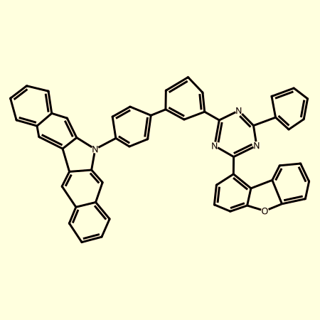 c1ccc(-c2nc(-c3cccc(-c4ccc(-n5c6cc7ccccc7cc6c6cc7ccccc7cc65)cc4)c3)nc(-c3cccc4oc5ccccc5c34)n2)cc1